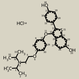 CC(C)N(CCOc1ccc(Oc2c(-c3ccc(O)cc3)sc3cc(O)ccc23)cc1)C(C)C.Cl